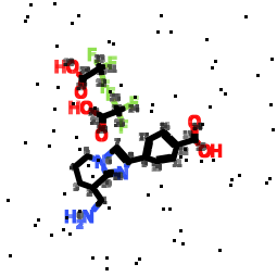 NCC1CCCn2cc(-c3ccc(C(=O)O)cc3)nc21.O=C(O)C(F)(F)F.O=C(O)C(F)(F)F